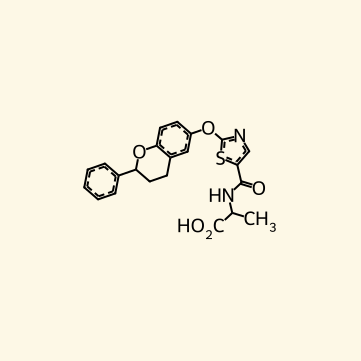 CC(NC(=O)c1cnc(Oc2ccc3c(c2)CCC(c2ccccc2)O3)s1)C(=O)O